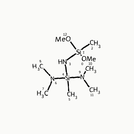 CO[Si](C)(N[Si](C)(N(C)C)N(C)C)OC